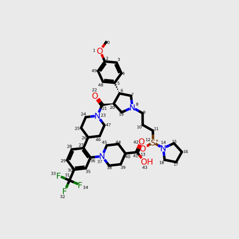 COc1ccc([C@@H]2CN(CCC[S+]([O-])N3CCCC3)C[C@H]2C(=O)N2CCC(c3ccc(C(F)(F)F)cc3N3CCC(C(=O)O)CC3)CC2)cc1